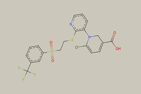 O=C(O)C1=CC=C(Cl)N(c2cccnc2SCCS(=O)(=O)c2cccc(C(F)(F)F)c2)C1